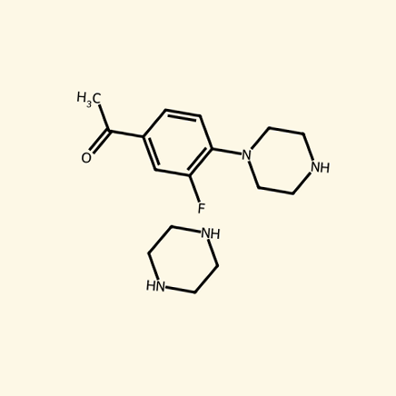 C1CNCCN1.CC(=O)c1ccc(N2CCNCC2)c(F)c1